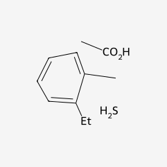 CC(=O)O.CCc1ccccc1C.S